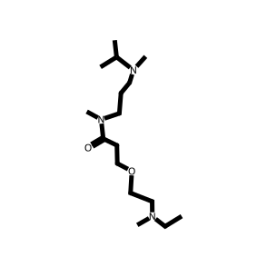 CCN(C)CCOCCC(=O)N(C)CCCN(C)C(C)C